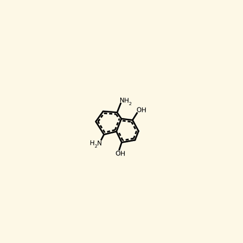 Nc1ccc(N)c2c(O)ccc(O)c12